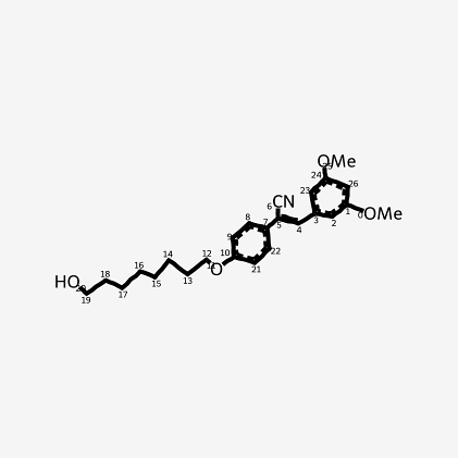 COc1cc(/C=C(\C#N)c2ccc(OCCCCCCCCO)cc2)cc(OC)c1